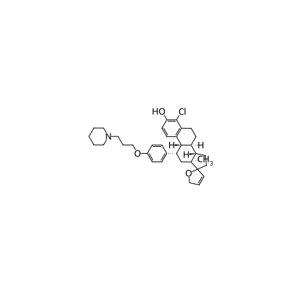 C[C@]12C[C@H](c3ccc(OCCCN4CCCCC4)cc3)[C@@H]3c4ccc(O)c(Cl)c4CC[C@H]3[C@@H]1CCC21C=CCO1